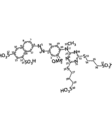 COc1cc(N=Nc2ccc3cc(S(=O)(=O)O)cc(S(=O)(=O)O)c3c2)ccc1N(C)c1nc(SCCCS(=O)(=O)O)nc(SCCCS(=O)(=O)O)n1